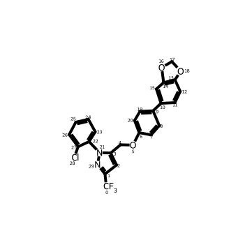 FC(F)(F)c1cc(COc2ccc(-c3ccc4c(c3)OCO4)cc2)n(-c2ccccc2Cl)n1